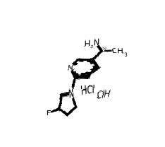 C[C@H](N)c1ccc(N2CCC(F)C2)nc1.Cl.Cl